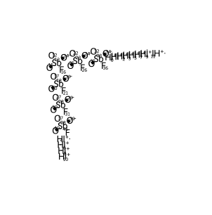 [IH+].[IH+].[IH+].[IH+].[IH+].[IH+].[IH+].[IH+].[IH+].[IH+].[IH+].[IH+].[O]=[Sb]([O-])([O-])[F].[O]=[Sb]([O-])([O-])[F].[O]=[Sb]([O-])([O-])[F].[O]=[Sb]([O-])([O-])[F].[O]=[Sb]([O-])([O-])[F].[O]=[Sb]([O-])([O-])[F]